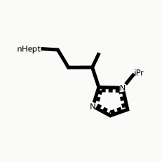 CCCCCCCCCC(C)c1nccn1C(C)C